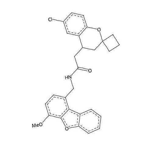 COc1ccc(CNC(=O)CC2CC3(CCC3)Oc3ccc(Cl)cc32)c2c1oc1ccccc12